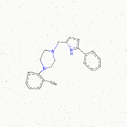 COc1ccccc1N1CCN(Cc2ccc(-c3ccccc3)[nH]2)CC1